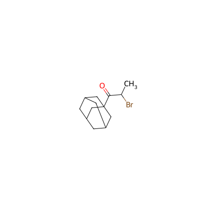 CC(Br)C(=O)C12CC3CC(CC(C3)C1)C2